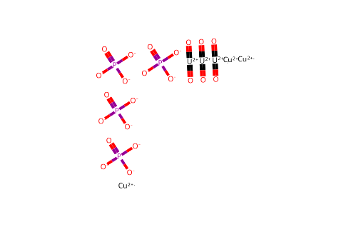 O=P([O-])([O-])[O-].O=P([O-])([O-])[O-].O=P([O-])([O-])[O-].O=P([O-])([O-])[O-].[Cu+2].[Cu+2].[Cu+2].[O]=[U+2]=[O].[O]=[U+2]=[O].[O]=[U+2]=[O]